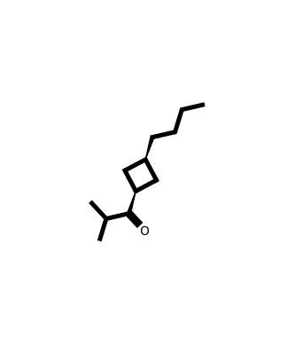 CCCC[C@H]1C[C@@H](C(=O)C(C)C)C1